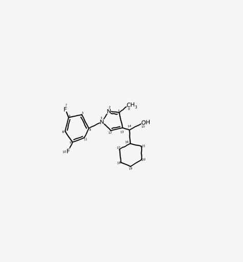 Cc1nn(-c2cc(F)cc(F)c2)cc1C(O)C1CCCCC1